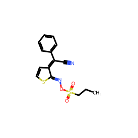 CCCS(=O)(=O)O/N=C1\SC=C\C1=C(\C#N)c1ccccc1